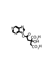 O=C(O)CC(O)(CC(=O)On1cnc2cncnc21)C(=O)O